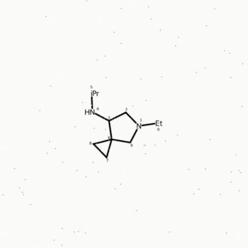 CCN1CC(NC(C)C)C2(CC2)C1